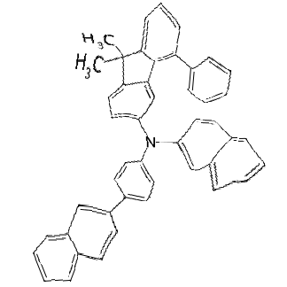 CC1(C)c2ccc(N(c3ccc(-c4ccc5ccccc5c4)cc3)c3ccc4ccccc4c3)cc2-c2c(-c3ccccc3)cccc21